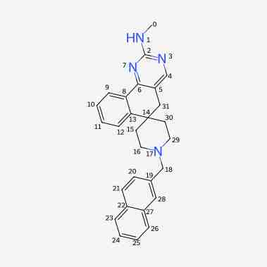 CNc1ncc2c(n1)-c1ccccc1C1(CCN(Cc3ccc4ccccc4c3)CC1)C2